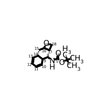 CC(C)(C)OC(=O)NCC1C=CC=C[C@@H]1CC1CCO1